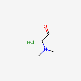 CN(C)CC=O.Cl